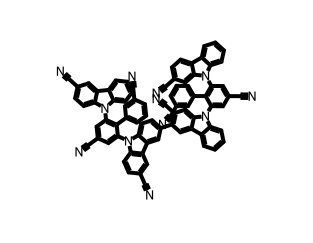 N#Cc1cccc(-c2c(-n3c4ccccc4c4cc(C#N)ccc43)cc(C#N)cc2-n2c3ccc(C#N)cc3c3cc(-c4cc5c6ccccc6n(-c6cc(C#N)cc(-n7c8ccccc8c8ccc(C#N)cc87)c6-c6cccc(C#N)c6)c5cc4C#N)ccc32)c1